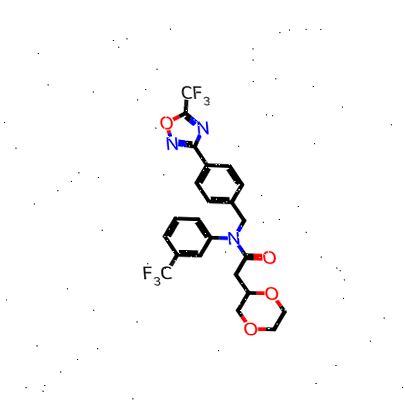 O=C(CC1COCCO1)N(Cc1ccc(-c2noc(C(F)(F)F)n2)cc1)c1cccc(C(F)(F)F)c1